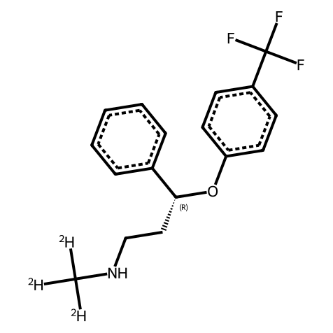 [2H]C([2H])([2H])NCC[C@@H](Oc1ccc(C(F)(F)F)cc1)c1ccccc1